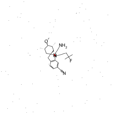 CO[C@H]1[C@H](C)C[C@@]2(Cc3ccc(C#N)cc3[C@]23N=C(N)C(CC(C)(C)F)=N3)C[C@@H]1C